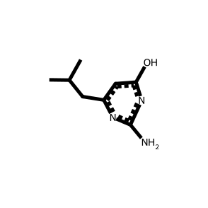 CC(C)Cc1cc(O)nc(N)n1